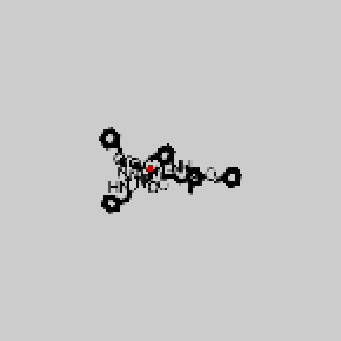 Cc1cc(OCc2ccccc2)cc(C)c1C[C@H](N)C(=O)N[C@H](C)C(=O)NC[C@H](Cc1ccccc1)N/C(=N/C(=O)OCc1ccccc1)NC(=O)OCc1ccccc1